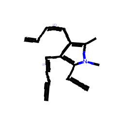 C=C/C=C\c1c(/C=C\C=C)c(C=C)n(C)c1C